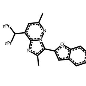 CCCC(CCC)c1cc(C)nn2c(-c3cc4ccccc4o3)c(C)nc12